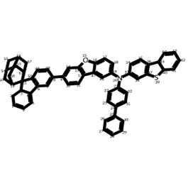 C1=CCC2C(=C1)c1cc(-c3ccc4c(c3)oc3ccc(N(c5ccc(-c6ccccc6)cc5)c5ccc6c(c5)SC5C=CC=CC65)cc34)ccc1C21C2CC3CC(C2)CC1C3